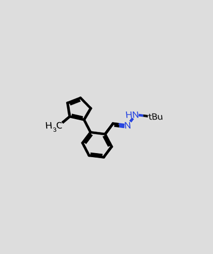 CC1=C(c2ccccc2C=NNC(C)(C)C)CC=C1